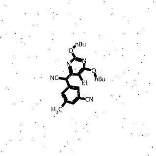 CCCCOc1nc(OCCCC)c(CC)c(C(C#N)c2cc(C)cc(C#N)c2)n1